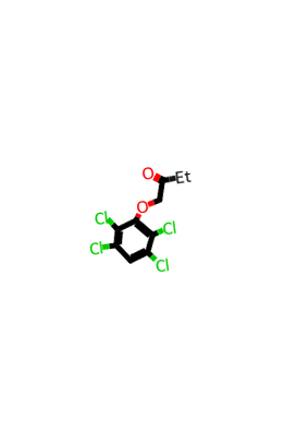 CCC(=O)COc1c(Cl)c(Cl)cc(Cl)c1Cl